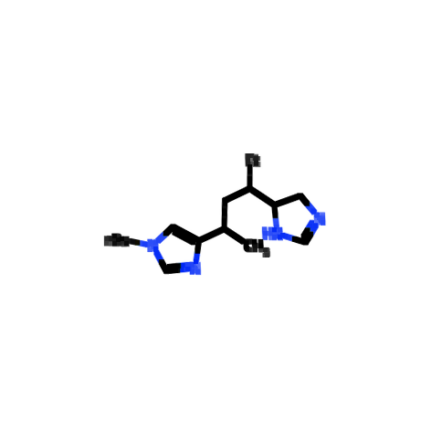 CCCCn1cnc(C(C)CC(CC)C2CN=CN2)c1